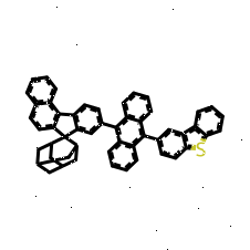 c1ccc2c3c(ccc2c1)C1(c2cc(-c4c5ccccc5c(-c5ccc6sc7ccccc7c6c5)c5ccccc45)ccc2-3)C2CC3CC(C2)CC1C3